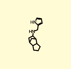 c1c[nH]c(CNC2CC3CC2C2CCCC32)c1